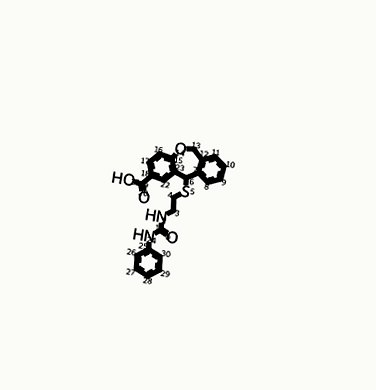 O=C(NCCSC1c2ccccc2COc2ccc(C(=O)O)cc21)Nc1ccccc1